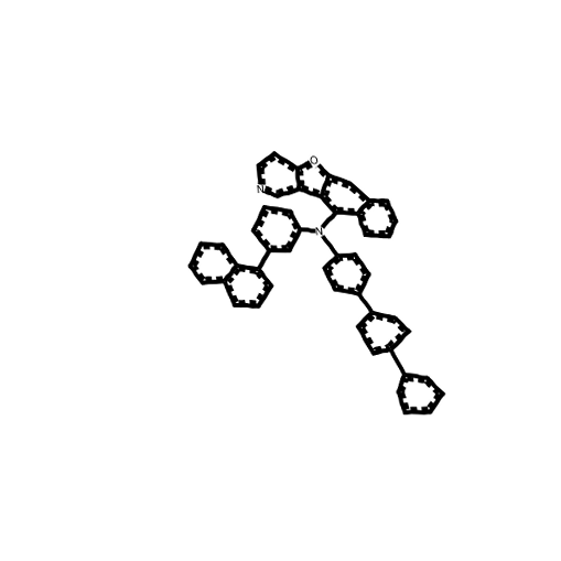 c1ccc(-c2ccc(-c3ccc(N(c4cccc(-c5cccc6ccccc56)c4)c4c5ccccc5cc5oc6ccncc6c45)cc3)cc2)cc1